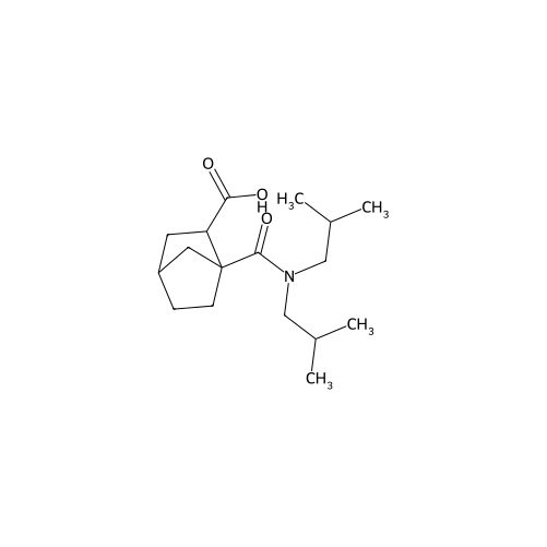 CC(C)CN(CC(C)C)C(=O)C12CCC(CC1C(=O)O)C2